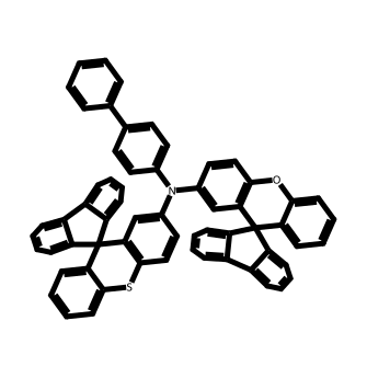 c1ccc(-c2ccc(N(c3ccc4c(c3)C3(c5ccccc5O4)c4ccccc4-c4ccccc43)c3ccc4c(c3)C3(c5ccccc5S4)c4ccccc4-c4ccccc43)cc2)cc1